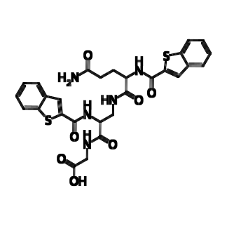 NC(=O)CCC(NC(=O)c1cc2ccccc2s1)C(=O)NCC(NC(=O)c1cc2ccccc2s1)C(=O)NCC(=O)O